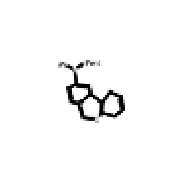 CCCCCN(C1=CC2C(C=C1)COC1CC=CCC12)C(C)C